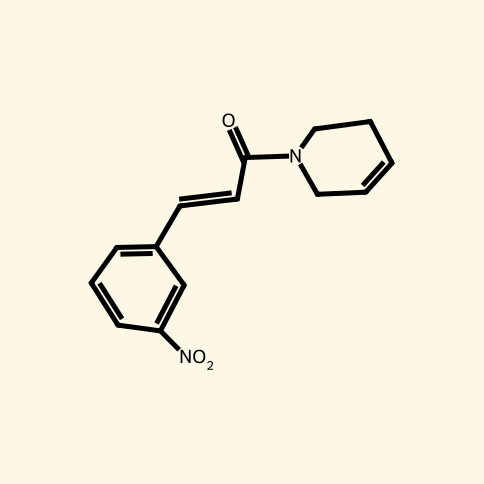 O=C(C=Cc1cccc([N+](=O)[O-])c1)N1CC=CCC1